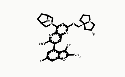 CCc1c(N)oc2cc(F)cc(-c3cc4nc(OC[C@@]56CCCN5C[C@H](F)C6)nc(N5CC6CCC(C5)N6)c4nc3O)c12